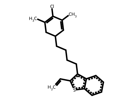 C=Cc1sc2ccccc2c1CCCCC1C=C(C)C(Cl)=C(C)C1